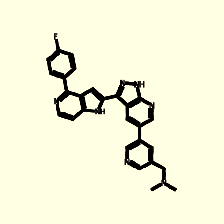 CN(C)Cc1cncc(-c2cnc3[nH]nc(-c4cc5c(-c6ccc(F)cc6)nccc5[nH]4)c3c2)c1